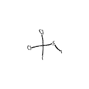 ClC(Cl)(I)SI